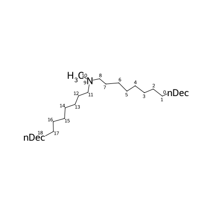 CCCCCCCCCCCCCCCCCCN(C)CCCCCCCCCCCCCCCCC